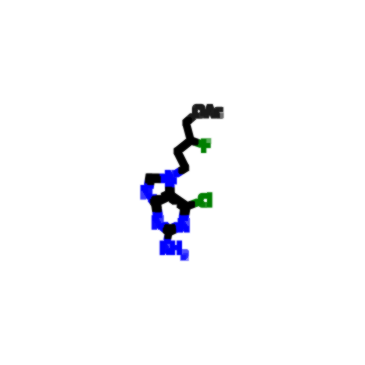 CC(=O)OCC(F)CCn1cnc2nc(N)nc(Cl)c21